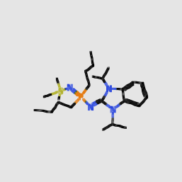 CCCCP(CCCC)(N=c1n(C(C)C)c2ccccc2n1C(C)C)=NS(C)(C)C